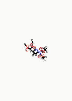 CCOC(=O)C(Cc1cnc(N(C(=O)OC(C)(C)C)C(=O)OC(C)(C)C)cc1C)C(=O)OCC